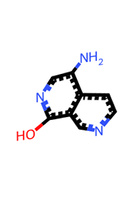 Nc1cnc(O)c2cnccc12